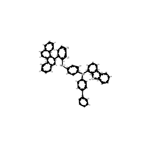 c1ccc(-c2ccc(N(c3ccc(Nc4ccccc4-c4cc5ccccc5c5ccc6ccccc6c45)cc3)c3cccc4c3oc3ccccc34)cc2)cc1